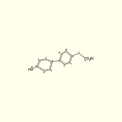 CCOC(=O)Cc1ccc(-c2ccc(O)cc2)cc1